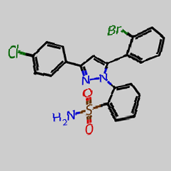 NS(=O)(=O)c1ccccc1-n1nc(-c2ccc(Cl)cc2)cc1-c1ccccc1Br